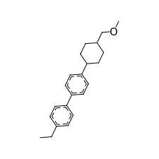 CCc1ccc(-c2ccc(C3CCC(COC)CC3)cc2)cc1